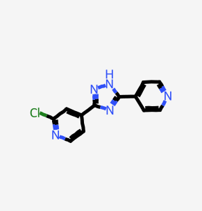 Clc1cc(-c2n[nH]c(-c3ccncc3)n2)ccn1